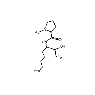 CNCCCCC(NC(=O)C1CCCN1C(C)=O)C(N)O